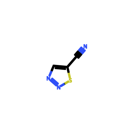 N#Cc1cnns1